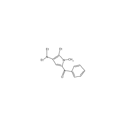 CCc1c(N(CC)CC)cc(C(=O)c2ccccc2)n1C